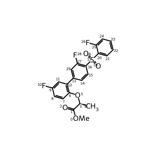 COC(=O)[C@H](C)Oc1ccc(F)cc1-c1ccc(S(=O)(=O)c2ccccc2F)c(F)c1